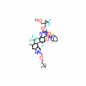 Cc1cc2nn(COCC[Si](C)(C)C)cc2c(-c2c(F)cc3c(N4CC5CC[C@@](C)(C4)N5C(=O)OC(C)(C)C)nc(OCC4(CO)CC4(F)F)nc3c2F)c1C(F)(F)F